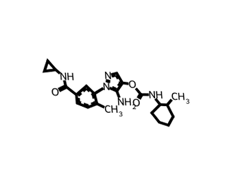 Cc1ccc(C(=O)NC2CC2)cc1-n1ncc(OC(=O)NC2CCCCC2C)c1N